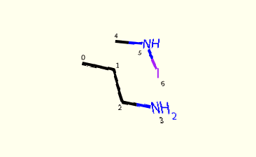 CCCN.CNI